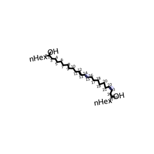 CCCCCCC(O)CCCCCCCCCC=C/[C]=C/CCCCCC/C=C\C[C@H](O)CCCCCC